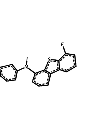 CC(C)c1ccc(N(I)c2cccc3c2sc2c(F)cccc23)cc1